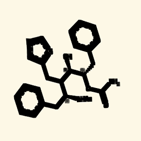 CC(=O)N[C@@H](Cc1ccccc1)C(Cc1cncs1)[C@@H](O)[C@H](Cc1ccccc1)OC(N)=O